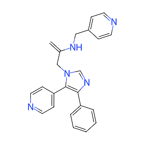 C=C(Cn1cnc(-c2ccccc2)c1-c1ccncc1)NCc1ccncc1